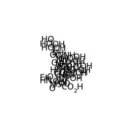 CCC(=O)NCCN1C(=O)CC(SC[C@@H](NC(=O)[C@H](CCC(O)NC[C@H](O)[C@@H](O)[C@H](O)[C@H](O)CO)NC(=O)[C@@H](CCC(=O)O)NC(=O)[C@H](CCC(=O)NC[C@H](O)[C@@H](O)[C@H](O)[C@H](O)CO)NC(=O)[C@@H](CCCC(=O)O)NC(=O)[C@H](CCC(=O)NC[C@H](O)[C@@H](O)[C@H](O)[C@H](O)CO)NC(=O)CC[C@@H](C)N)C(=O)O)C1=O